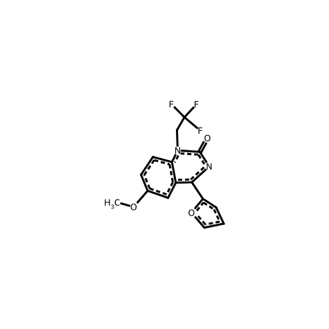 COc1ccc2c(c1)c(-c1ccco1)nc(=O)n2CC(F)(F)F